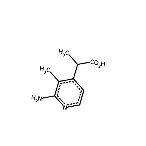 Cc1c(C(C)C(=O)O)ccnc1N